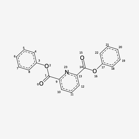 O=C(Oc1ccccc1)c1cccc(C(=O)Oc2ccccc2)n1